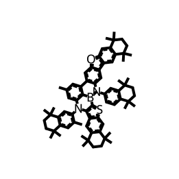 Cc1cc2c3c(c1)N(c1cc4c(cc1C)C(C)(C)CCC4(C)C)c1c(sc4cc5c(cc14)C(C)(C)CCC5(C)C)B3N(c1ccc3c(c1)C(C)(C)CCC3(C)C)c1cc3c(cc1-2)oc1cc2c(cc13)C(C)(C)CCC2(C)C